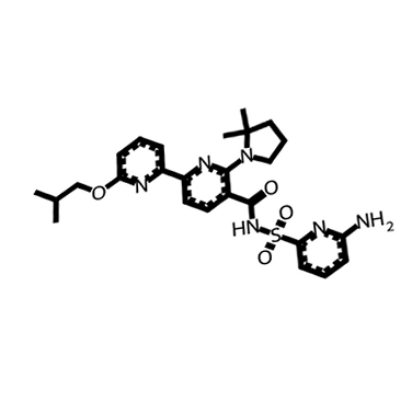 CC(C)COc1cccc(-c2ccc(C(=O)NS(=O)(=O)c3cccc(N)n3)c(N3CCCC3(C)C)n2)n1